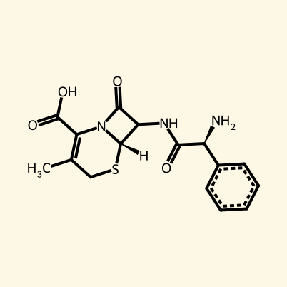 CC1=C(C(=O)O)N2C(=O)C(NC(=O)[C@@H](N)c3ccccc3)[C@@H]2SC1